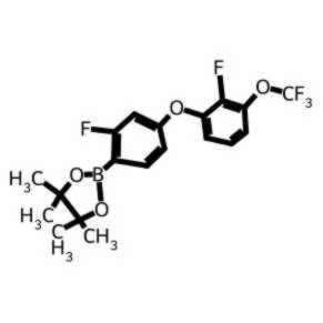 CC1(C)OB(c2ccc(Oc3cccc(OC(F)(F)F)c3F)cc2F)OC1(C)C